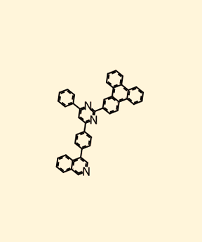 c1ccc(-c2cc(-c3ccc(-c4cncc5ccccc45)cc3)nc(-c3ccc4c5ccccc5c5ccccc5c4c3)n2)cc1